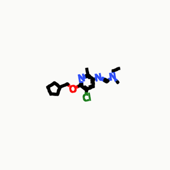 CCN(C)/C=N/c1cc(Cl)c(OCC2CCCC2)nc1C